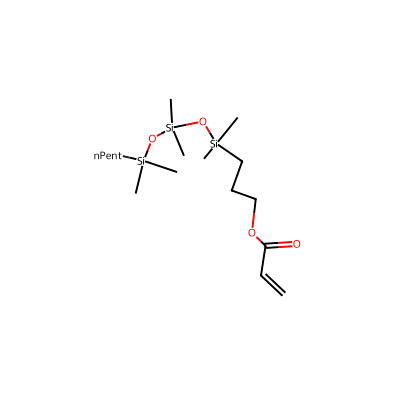 C=CC(=O)OCCC[Si](C)(C)O[Si](C)(C)O[Si](C)(C)CCCCC